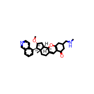 CNCC1CC(=O)C2=C(C1)O[C@@H]1C(=C2)CC[C@@]2(C)[C@H]1C[C@@H](OC)[C@@H]2c1cccc2cnccc12